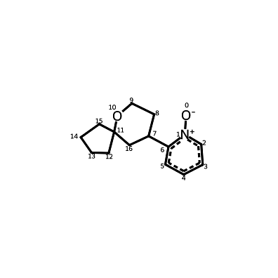 [O-][n+]1ccccc1C1CCOC2(CCCC2)C1